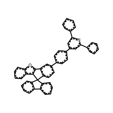 c1ccc(-c2cc(-c3ccc(-c4ccc5c(c4)-c4oc6ccccc6c4C54c5ccccc5-c5ccccc54)cc3)cc(-c3ccccc3)n2)cc1